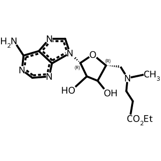 CCOC(=O)CCN(C)C[C@H]1O[C@@H](n2cnc3c(N)ncnc32)C(O)C1O